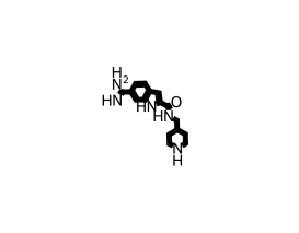 N=C(N)c1ccc2cc(C(=O)NCC3CCNCC3)[nH]c2c1